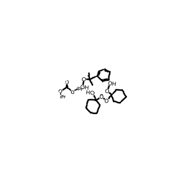 CC(C)(OO)c1ccccc1.CC(C)OC(=O)OC(C)C.OOC1(OOC2(O)CCCCC2)CCCCC1